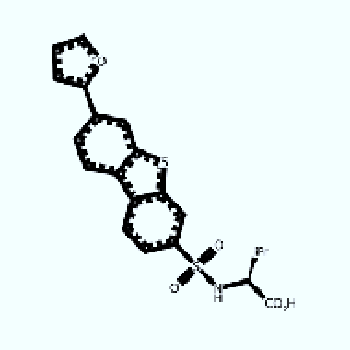 CC(C)[C@H](NS(=O)(=O)c1ccc2c(c1)sc1cc(-c3ccco3)ccc12)C(=O)O